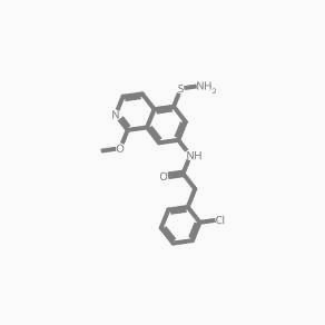 COc1nccc2c(SN)cc(NC(=O)Cc3ccccc3Cl)cc12